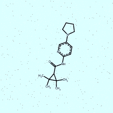 CC1(C)C(C(=O)Nc2ccc(N3CCCC3)cn2)C1(C)C